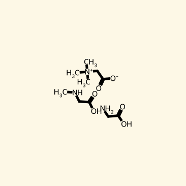 CNCC(=O)O.C[N+](C)(C)CC(=O)[O-].NCC(=O)O